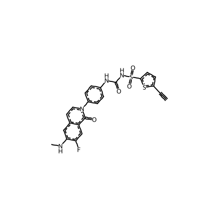 C#Cc1ccc(S(=O)(=O)NC(=O)Nc2ccc(-n3ccc4cc(NC)c(F)cc4c3=O)cc2)s1